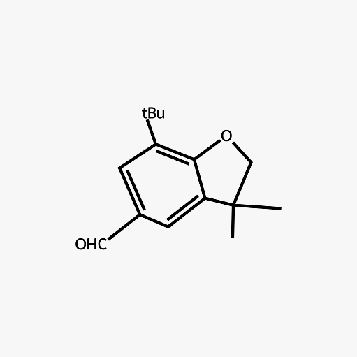 CC(C)(C)c1cc(C=O)cc2c1OCC2(C)C